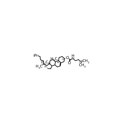 CC(C)CCC[C@@H](C)[C@H]1CCC2C3CC=C4C[C@@H](OC(=O)NCCN(C)C)CC[C@]4(C)C3CC[C@@]21C